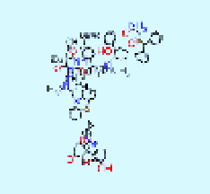 C=CCC1(C(C)CC)C(=O)NC(=O)NC1=O.CC(C)Cc1ccc(C(C)C(=O)O)cc1.CC(CN1c2ccccc2Sc2ccccc21)N(C)C.COc1cccc([C@@]2(O)CCCC[C@@H]2CN(C)C)c1.NC(=O)C[S+]([O-])C(c1ccccc1)c1ccccc1.O=C1CC[C@@]2(O)[C@H]3Cc4ccc(O)c5c4[C@@]2(CCN3CC2CC2)[C@H]1O5